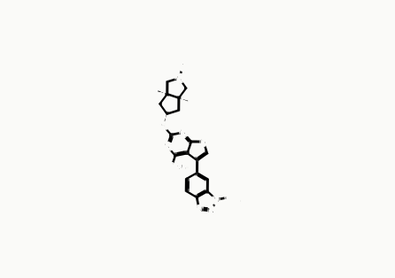 COc1nc(N[C@H]2C[C@@H]3CN(C(C)=O)C[C@@H]3C2)nc2[nH]cc(-c3ccc4nnn(C)c4c3)c12